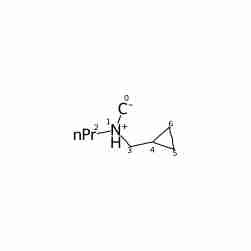 [CH2-][NH+](CCC)CC1CC1